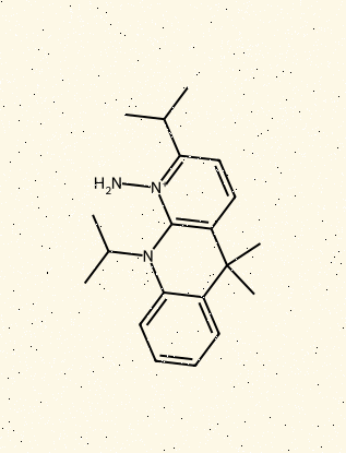 CC(C)c1ccc2c([n+]1N)N(C(C)C)c1ccccc1C2(C)C